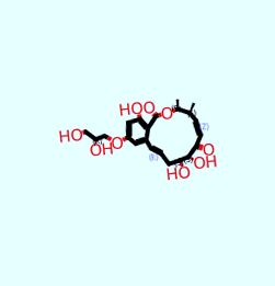 C[C@@H]1OC(=O)c2c(O)cc(OC[C@H](O)CO)cc2/C=C/C[C@H](O)[C@H](O)C(=O)/C=C\[C@@H]1C